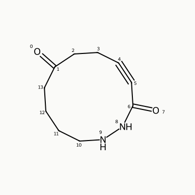 O=C1CCC#CC(=O)NNCCCC1